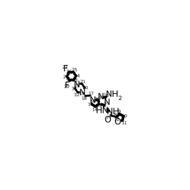 Nc1nc(NNC(=O)c2ccco2)c2ccn(CCN3CCN(c4ccc(F)cc4F)CC3)c2n1